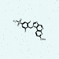 COc1ccc2c(ncc3ncn(Cc4c(F)cc(S(N)(=O)=O)cc4F)c32)n1